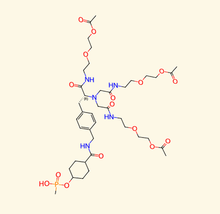 CC(=O)OCCOCCNC(=O)CN(CC(=O)NCCOCCOC(C)=O)[C@H](Cc1ccc(CNC(=O)C2CCC(OP(C)(=O)O)CC2)cc1)C(=O)NCCOCCOC(C)=O